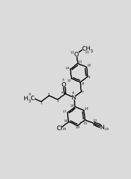 CCCCC(=O)N(Cc1ccc(OC)cc1)c1cc(Cl)cc(C#N)c1